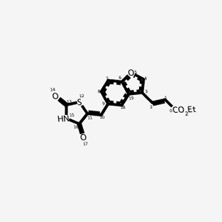 CCOC(=O)/C=C/c1coc2ccc(/C=C3\SC(=O)NC3=O)cc12